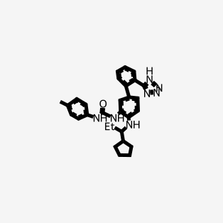 CCC(Nc1ccc(-c2ccccc2-c2nnn[nH]2)cc1NC(=O)Nc1ccc(C)cc1)C1CCCC1